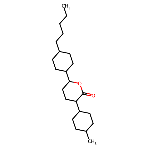 CCCCCC1CCC(C2CCC(C3CCC(C)CC3)C(=O)O2)CC1